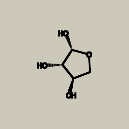 O[C@H]1[C@H](O)CO[C@H]1O